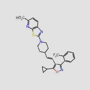 O=C(O)c1ccc2nc(N3CCC(/C=C/c4c(-c5ccccc5C(F)(F)F)noc4C4CC4)CC3)sc2n1